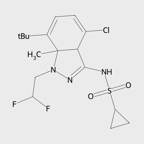 CC(C)(C)C1=CC=C(Cl)C2C(NS(=O)(=O)C3CC3)=NN(CC(F)F)C12C